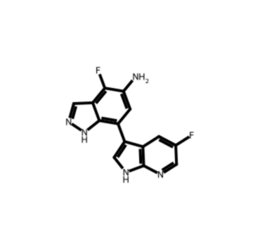 Nc1cc(-c2c[nH]c3ncc(F)cc23)c2[nH]ncc2c1F